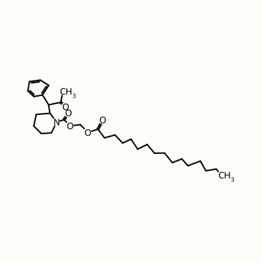 CCCCCCCCCCCCCCCC(=O)OCOC(=O)N1CCCCC1C(C(C)=O)c1ccccc1